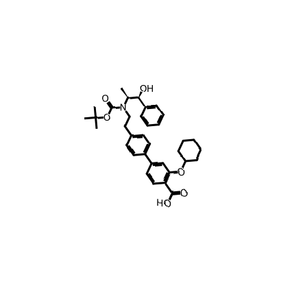 C[C@@H]([C@@H](O)c1ccccc1)N(CCc1ccc(-c2ccc(C(=O)O)c(OC3CCCCC3)c2)cc1)C(=O)OC(C)(C)C